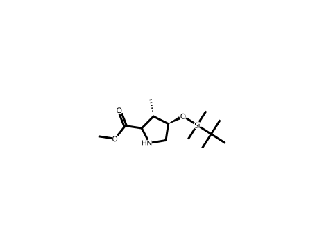 COC(=O)C1NC[C@H](O[Si](C)(C)C(C)(C)C)[C@H]1C